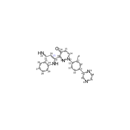 Cc1cc(-c2cnccn2)ccc1-n1ccc(=O)c(/C(=C/C=N)Nc2ccccc2)n1